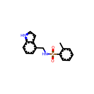 Cc1ccccc1S(=O)(=O)NCc1cccc2[nH]ccc12